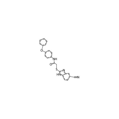 N#Cc1ccc2[nH]c(SCC(=O)Nc3ccc(Oc4ccccc4)cc3)nc2c1